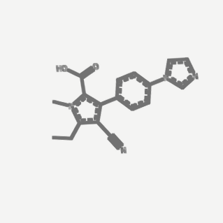 CCc1c(C#N)c(-c2ccc(-n3ccnc3)cc2)c(C(=O)O)n1C